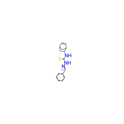 S=C(N/N=C/c1ccccc1)NC1CC2C=CC1C2